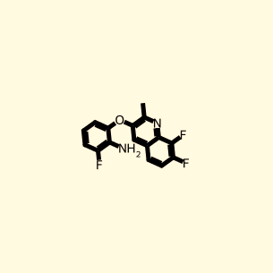 Cc1nc2c(F)c(F)ccc2cc1Oc1cccc(F)c1N